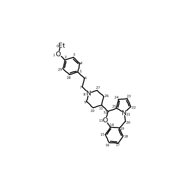 CCOc1ccc(CCN2CCC(C3Oc4ccccc4Cn4cccc43)CC2)cc1